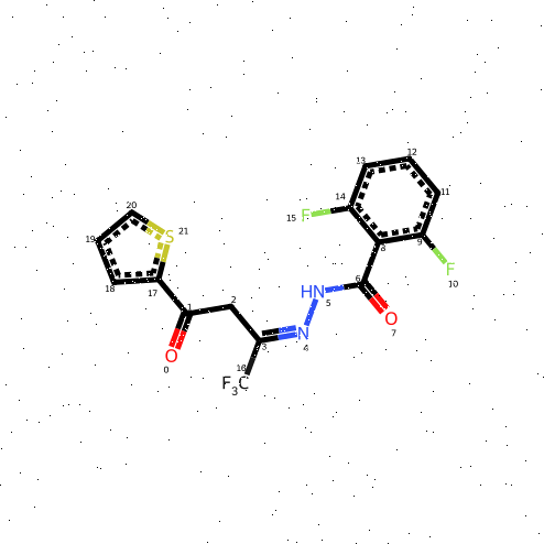 O=C(CC(=NNC(=O)c1c(F)cccc1F)C(F)(F)F)c1cccs1